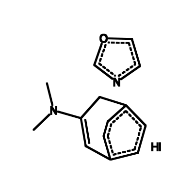 CN(C)C1=Cc2ccc(cc2)C1.I.c1cocn1